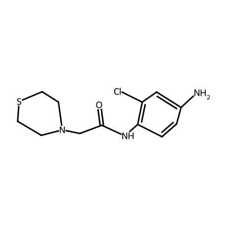 Nc1ccc(NC(=O)CN2CCSCC2)c(Cl)c1